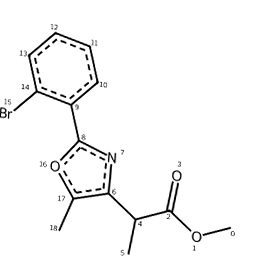 COC(=O)C(C)c1nc(-c2ccccc2Br)oc1C